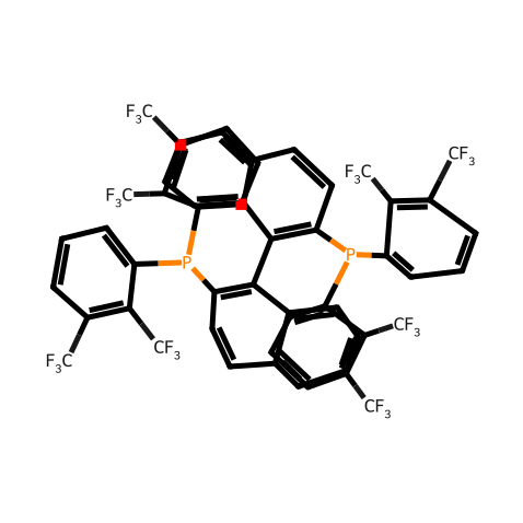 FC(F)(F)c1cccc(P(c2cccc(C(F)(F)F)c2C(F)(F)F)c2ccc3ccccc3c2-c2c(P(c3cccc(C(F)(F)F)c3C(F)(F)F)c3cccc(C(F)(F)F)c3C(F)(F)F)ccc3ccccc23)c1C(F)(F)F